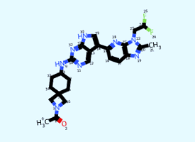 CC(=O)N1CC2(CCC(Nc3ncc4c(-c5ccc6nc(C)n(CC(F)F)c6n5)c[nH]c4n3)CC2)C1